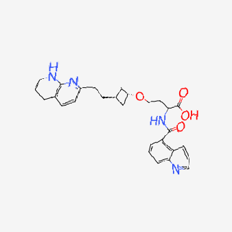 O=C(NC(CCO[C@H]1C[C@H](CCc2ccc3c(n2)NCCC3)C1)C(=O)O)c1cccc2ncccc12